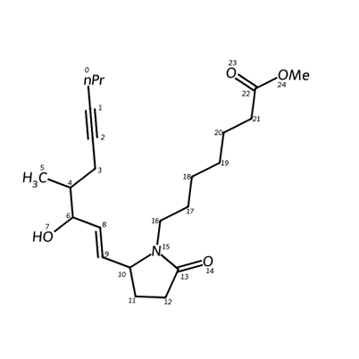 CCCC#CCC(C)C(O)/C=C/C1CCC(=O)N1CCCCCCC(=O)OC